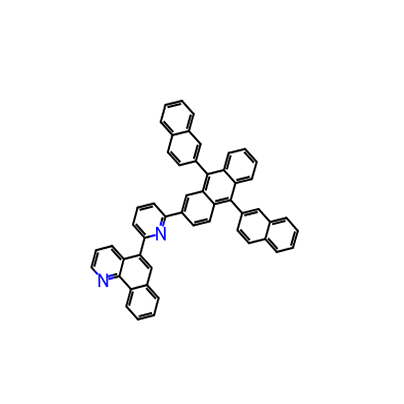 c1cc(-c2ccc3c(-c4ccc5ccccc5c4)c4ccccc4c(-c4ccc5ccccc5c4)c3c2)nc(-c2cc3ccccc3c3ncccc23)c1